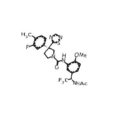 COc1ccc([C@@H](NC(C)=O)C(F)(F)F)cc1NC(=O)N1CC[C@@](c2ccc(C)c(F)c2)(c2ncns2)C1